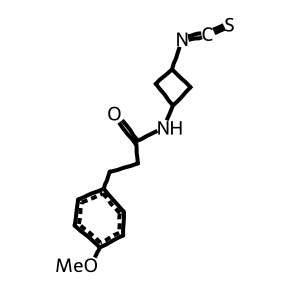 COc1ccc(CCC(=O)NC2CC(N=C=S)C2)cc1